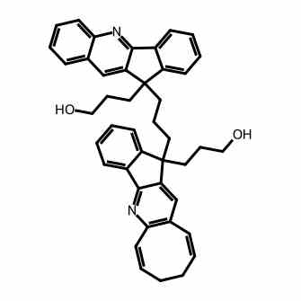 OCCCC1(CCCC2(CCCO)c3ccccc3-c3nc4ccccc4cc32)c2ccccc2-c2nc3c(cc21)/C=C\CC/C=C\3